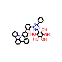 Oc1c(O)c(O)c(-c2nc(-c3ccccc3)nc(-c3cccc4c3oc3ccc(-n5c6ccccc6c6cccc(-c7ccccc7)c65)cc34)n2)c(O)c1O